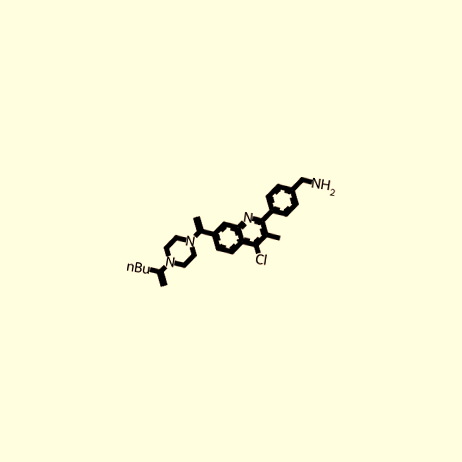 C=C(CCCC)N1CCN(C(=C)c2ccc3c(Cl)c(C)c(-c4ccc(CN)cc4)nc3c2)CC1